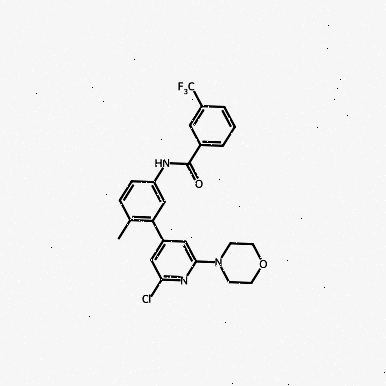 Cc1ccc(NC(=O)c2cccc(C(F)(F)F)c2)cc1-c1cc(Cl)nc(N2CCOCC2)c1